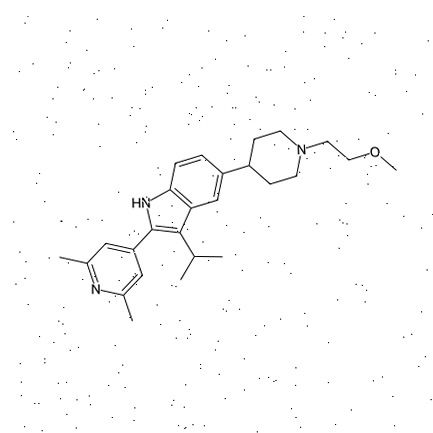 COCCN1CCC(c2ccc3[nH]c(-c4cc(C)nc(C)c4)c(C(C)C)c3c2)CC1